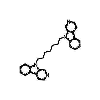 c1ccc2c(c1)c1ccncc1n2CCCCCCCn1c2ccccc2c2ccncc21